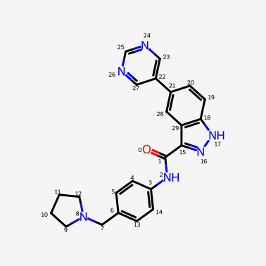 O=C(Nc1ccc(CN2CCCC2)cc1)c1n[nH]c2ccc(-c3cncnc3)cc12